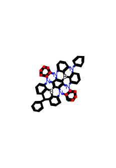 c1ccc(C2c3cccc4c3B3c5c2cccc5N(c2ccccc2)c2c3c(c3c5c2N(c2ccccc2)c2cccc6c2B5c2c(cccc2N3c2ccccc2)N6c2ccccc2)N4c2ccccc2)cc1